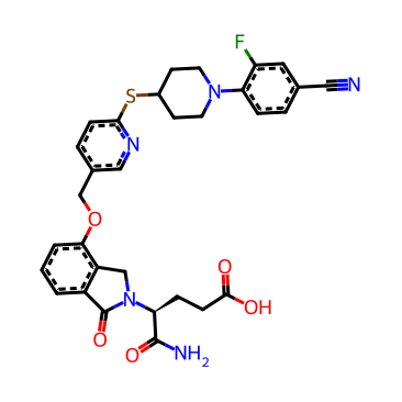 N#Cc1ccc(N2CCC(Sc3ccc(COc4cccc5c4CN([C@@H](CCC(=O)O)C(N)=O)C5=O)cn3)CC2)c(F)c1